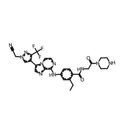 CCc1cc(Nc2nccn3c(-c4cn(CC#N)nc4C(F)(F)F)cnc23)ccc1C(=O)NCC(=O)N1CCNCC1